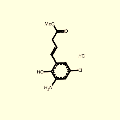 COC(=O)C/C=C/c1cc(Cl)cc(N)c1O.Cl